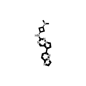 CN(C)[C@H]1C[C@@H](Nc2ncc3c(-c4ccc5nccn5n4)ccn3n2)C1